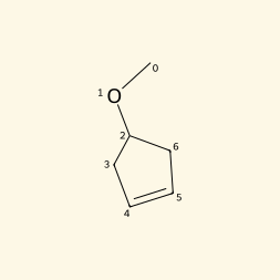 COC1CC=CC1